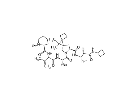 C=C(C)[C@H](NC(=O)[C@@H]1CCCCN1C(C)C)C(=O)N[C@H](C(=O)N1C[C@]2(C[C@H]1C(=O)N[C@@H](CCC)C(=O)C(=O)NC1CCC1)C(C)(C)C21CCC1)C(C)(C)C